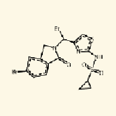 CCC(c1csc(NS(=O)(=O)C2CC2)n1)N1Cc2cc(Br)ccc2C1=O